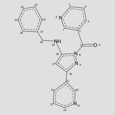 O=C(c1cccnc1)n1nc(-c2cccnc2)cc1NCc1ccccc1